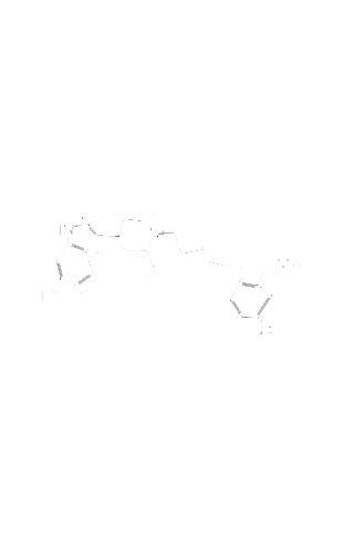 COc1cc(C(C)=O)ccc1OCCCCN1CCC(c2n[nH]c3cc(F)ccc23)CC1I